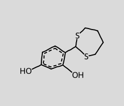 Oc1ccc(C2SCCCCS2)c(O)c1